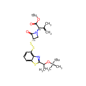 C=C(C)[C@H](C(=O)OC(C)(C)C)N1C[C@H](SSc2cccc3sc(C(C)O[Si](C)(C)C(C)(C)C)nc23)C1=O